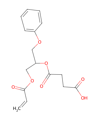 C=CC(=O)OCC(COc1ccccc1)OC(=O)CCC(=O)O